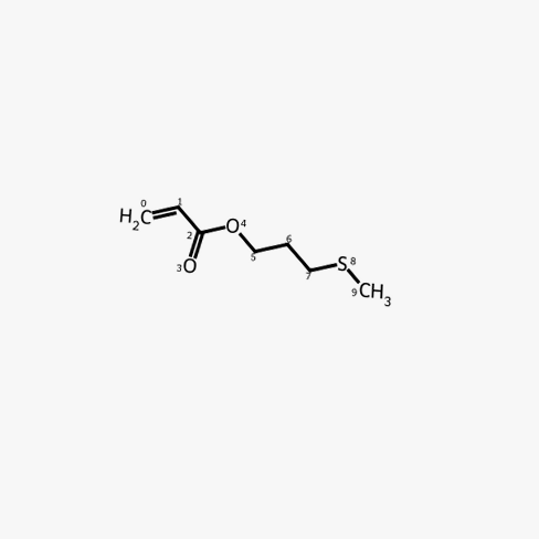 C=CC(=O)OCCCSC